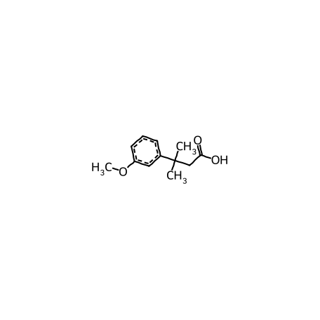 COc1cccc(C(C)(C)CC(=O)O)c1